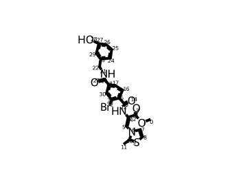 COC(=O)C(=CN1C=CSC1C)NC(=O)c1ccc(C(=O)NCc2cccc(O)c2)cc1Br